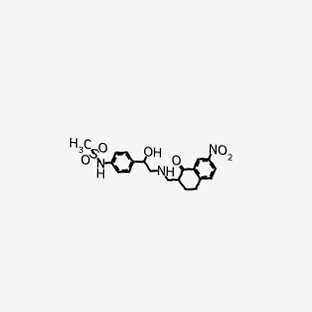 CS(=O)(=O)Nc1ccc(C(O)CNCC2CCc3ccc([N+](=O)[O-])cc3C2=O)cc1